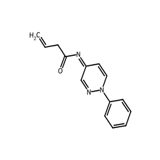 C=CCC(=O)/N=c1/ccn(-c2ccccc2)nc1